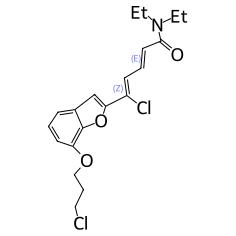 CCN(CC)C(=O)/C=C/C=C(\Cl)c1cc2cccc(OCCCCl)c2o1